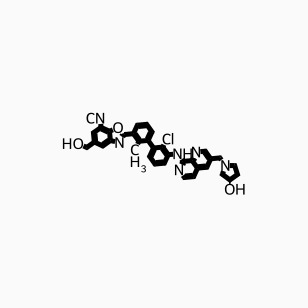 Cc1c(-c2nc3cc(CO)cc(C#N)c3o2)cccc1-c1cccc(Nc2nccc3cc(CN4CC[C@H](O)C4)cnc23)c1Cl